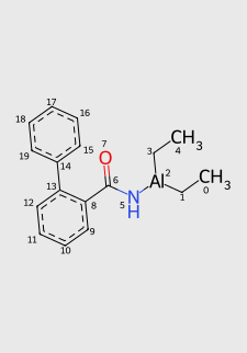 C[CH2][Al]([CH2]C)[NH]C(=O)c1ccccc1-c1ccccc1